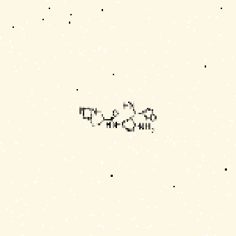 N=C(c1ccoc1)c1cc(NC(=O)C2CCc3cncn3C2)ccc1N